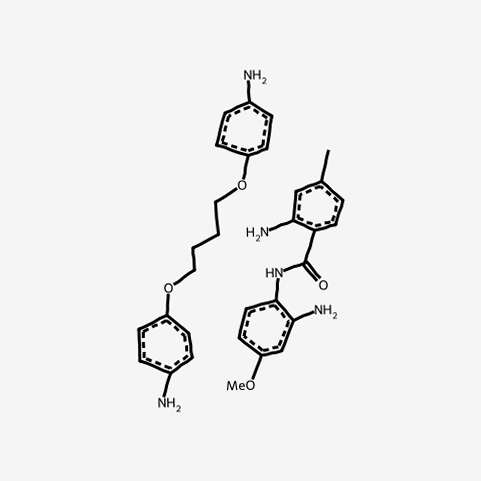 COc1ccc(NC(=O)c2ccc(C)cc2N)c(N)c1.Nc1ccc(OCCCCOc2ccc(N)cc2)cc1